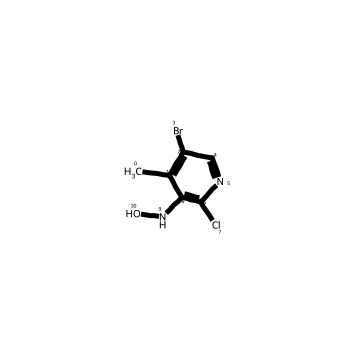 Cc1c(Br)cnc(Cl)c1NO